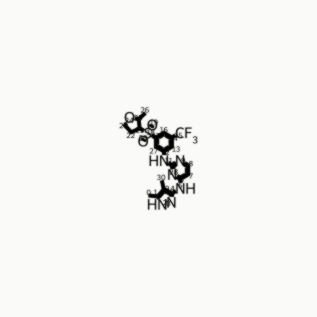 Cc1[nH]nc(Nc2ccnc(Nc3cc(C(F)(F)F)cc(S(=O)(=O)C4CCOC4C)c3)n2)c1C